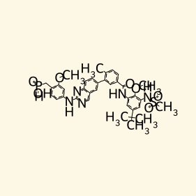 COc1cc(Nc2ncc3cc(-c4cc(C(=O)Nc5cc(C(C)(C)C)cc(NS(C)(=O)=O)c5OC)ccc4C)ccc3n2)ccc1C[PH](=O)O